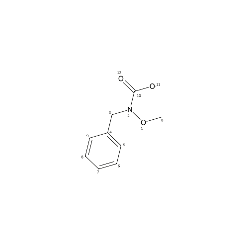 CON(Cc1ccccc1)C([O])=O